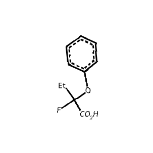 CCC(F)(Oc1ccccc1)C(=O)O